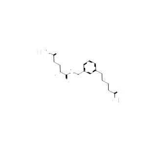 C[C@@H](CCC(N)=O)C(=O)NCc1cccc(CCCCC(=O)O)c1